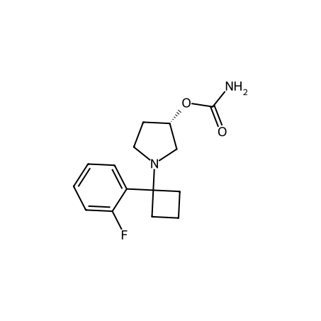 NC(=O)O[C@H]1CCN(C2(c3ccccc3F)CCC2)C1